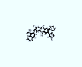 COc1cc(N2CCOCC2)c(-c2cnn(C)c2)cc1Nc1ncc(F)c(Nc2ccc3nccnc3c2P(C)C)n1